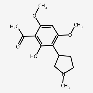 COc1cc(OC)c(C2CCN(C)C2)c(O)c1C(C)=O